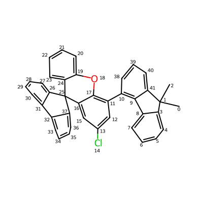 CC1(C)c2ccccc2-c2c(-c3cc(Cl)cc4c3Oc3ccccc3C43c4ccccc4-c4ccccc43)cccc21